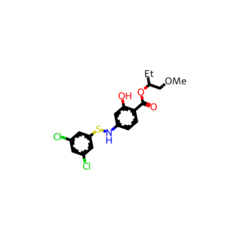 CCC(COC)OC(=O)c1ccc(NSc2cc(Cl)cc(Cl)c2)cc1O